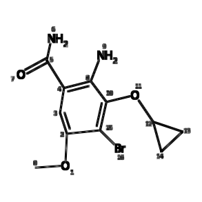 COc1cc(C(N)=O)c(N)c(OC2CC2)c1Br